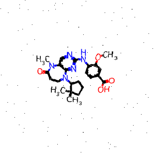 COc1cc(C(=O)O)ccc1Nc1ncc2c(n1)N(C1CCCC1(C)C)CCC(=O)N2C